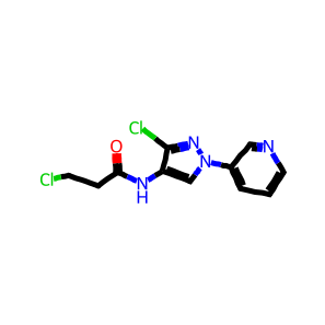 O=C(CCCl)Nc1cn(-c2cccnc2)nc1Cl